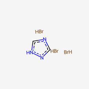 Br.Br.Br.c1nc[nH]n1